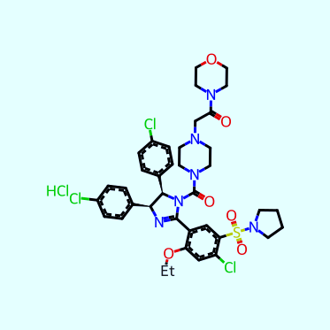 CCOc1cc(Cl)c(S(=O)(=O)N2CCCC2)cc1C1=N[C@@H](c2ccc(Cl)cc2)[C@@H](c2ccc(Cl)cc2)N1C(=O)N1CCN(CC(=O)N2CCOCC2)CC1.Cl